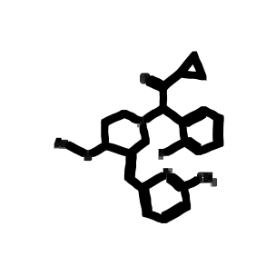 CC(=O)SC1CCN(C(C(=O)C2CC2)c2ccccc2F)C/C1=C\c1cccc(C)n1